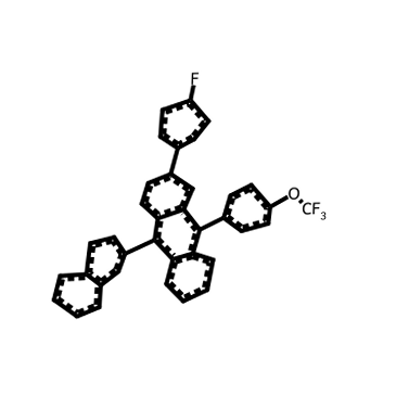 Fc1ccc(-c2ccc3c(-c4ccc5ccccc5c4)c4ccccc4c(-c4ccc(OC(F)(F)F)cc4)c3c2)cc1